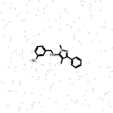 Cc1c(-c2ccccc2)nn(C)c1NCc1cccc(C#N)c1